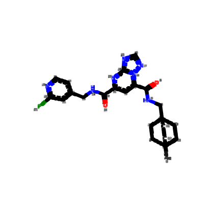 CC(=O)C12CCC(CNC(=O)c3cc(C(=O)NCc4ccnc(F)c4)nc4ncnn34)(CC1)CC2